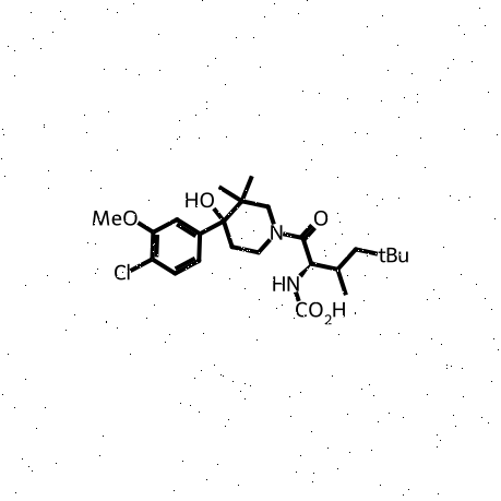 COc1cc(C2(O)CCN(C(=O)[C@H](NC(=O)O)C(C)CC(C)(C)C)CC2(C)C)ccc1Cl